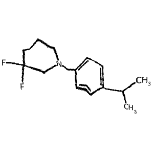 CC(C)c1ccc(N2CCCC(F)(F)C2)cc1